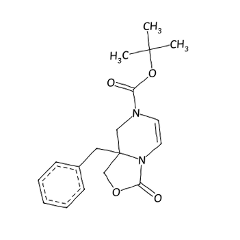 CC(C)(C)OC(=O)N1C=CN2C(=O)OCC2(Cc2ccccc2)C1